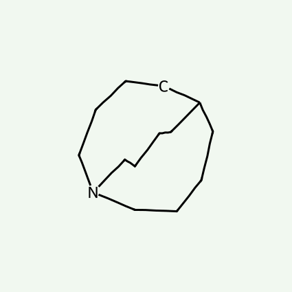 C1CCN2CCCCC(C1)CCCC2